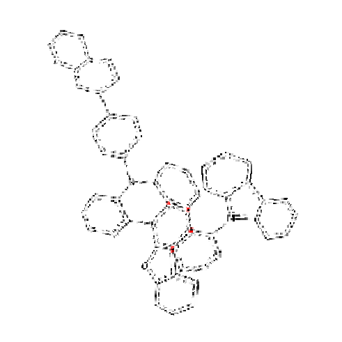 c1cc(-c2ccccc2-n2c3ccccc3c3ccccc32)cc(N(c2ccc(-c3ccc4ccccc4c3)cc2)c2ccccc2-c2cccc3c2oc2ccccc23)c1